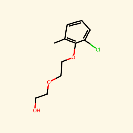 Cc1cccc(Cl)c1OCCOCCO